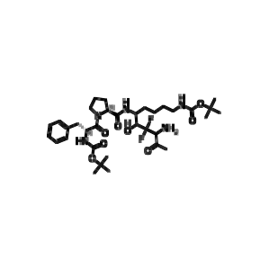 CC(=O)C(N)C(F)(F)C(O)C(CCCCNC(=O)OC(C)(C)C)NC(=O)[C@@H]1CCCN1C(=O)[C@@H](Cc1ccccc1)NC(=O)OC(C)(C)C